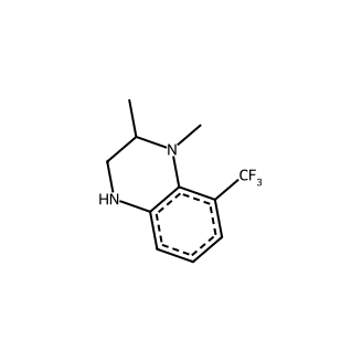 CC1CNc2cccc(C(F)(F)F)c2N1C